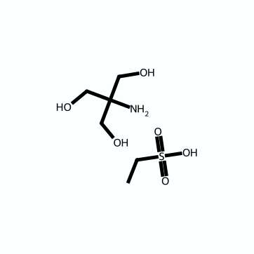 CCS(=O)(=O)O.NC(CO)(CO)CO